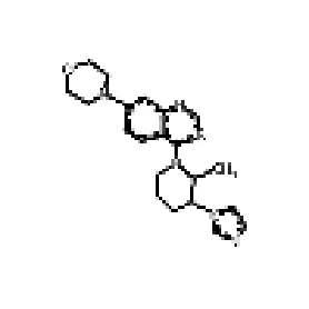 CC1C(n2ccnc2)CCCN1c1ncnc2cc(N3CCOCC3)ccc12